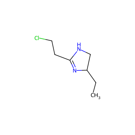 CCC1CNC(CCCl)=N1